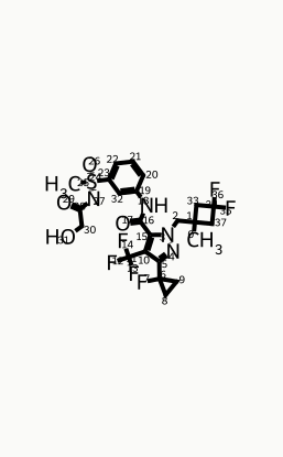 CC1(Cn2nc(C3(F)CC3)c(C(F)(F)F)c2C(=O)Nc2cccc(S(C)(=O)=NC(=O)CO)c2)CC(F)(F)C1